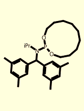 Cc1cc(C)cc(C(c2cc(C)cc(C)c2)N(C(C)C)P2OCCCCCCCCCO2)c1